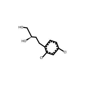 OC[C@H](O)CCc1ccc(Cl)cc1Cl